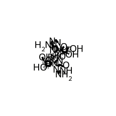 Nc1nc2c(nc(Br)n2[C@H]2C[C@H](O)[C@@H](CO)O2)c(=O)[nH]1.Nc1ncnc2c1nc(Br)n2[C@@H]1O[C@H](CO)[C@@H](O)[C@H]1O